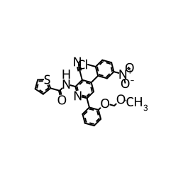 COCOc1ccccc1-c1cc(-c2cc([N+](=O)[O-])ccc2Cl)c(C#N)c(NC(=O)c2cccs2)n1